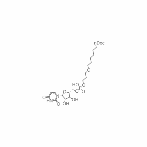 CCCCCCCCCCCCCCCCOCCCOP(=O)(O)OC[C@H]1O[C@@H](n2ccc(=O)[nH]c2=O)[C@H](O)[C@@H]1O